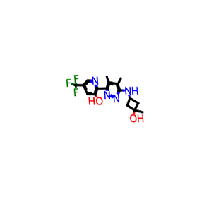 Cc1c(NC2CC(C)(O)C2)nnc(-c2ncc(C(F)(F)F)cc2O)c1C